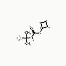 CC(C)(C)OC(=O)SC1CCC1